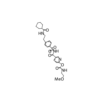 COCCNC(=O)Oc1ccc(C(=O)NS(=O)(=O)c2ccc(CCNC(=O)C3CCCCC3)cc2)cn1